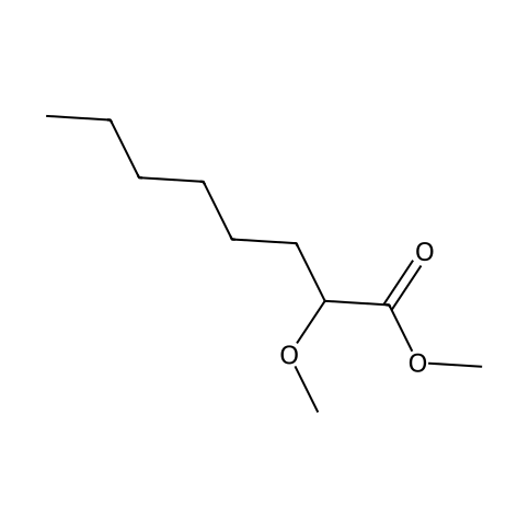 CCCCCCC(OC)C(=O)OC